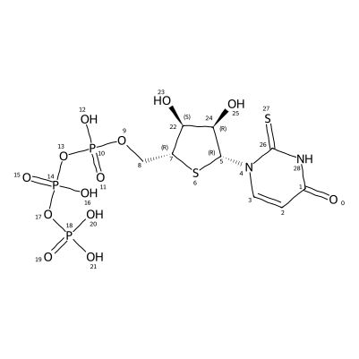 O=c1ccn([C@@H]2S[C@H](COP(=O)(O)OP(=O)(O)OP(=O)(O)O)[C@@H](O)[C@H]2O)c(=S)[nH]1